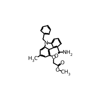 COC(=O)COc1cc(C)cc2c1c1c(C(N)=O)cccc1n2Cc1ccccc1